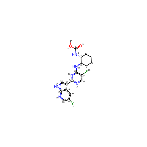 COC(=O)N[C@@H]1CCCC[C@H]1Nc1nc(-c2c[nH]c3ncc(Cl)cc23)ncc1F